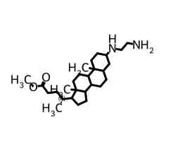 COC(=O)CC[C@@H](C)C1CCC2C3CCC4CC(NCCN)CCC4(C)C3CCC21C